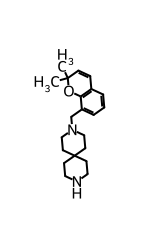 CC1(C)C=Cc2cccc(CN3CCC4(CCNCC4)CC3)c2O1